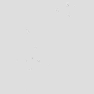 CCCCS(=O)(=O)NC(CN(C=O)c1cc(OCCCNC2=NCCN2)no1)C(=O)O